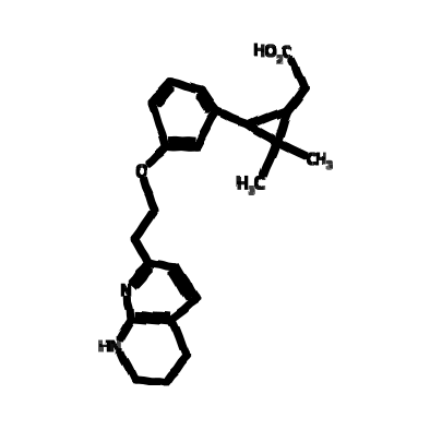 CC1(C)C(CC(=O)O)C1c1cccc(OCCc2ccc3c(n2)NCCC3)c1